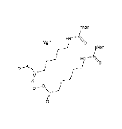 CCCCCCCCCC(=O)NCCCCCC(=O)O[O-].CCCCCCCCCC(=O)NCCCCCC(=O)O[O-].[Mg+2]